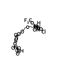 O=C1CCC(N2Cc3cc(N4CCN(C(=O)COCCOCCCc5ccc(CCc6c(-c7ccc(C(F)(F)F)cc7)nn(-c7nc8cc(Cl)ccc8[nH]7)c6O)cc5)CC4)ccc3C2=O)C(=O)N1